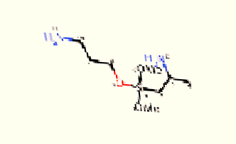 CO[Si](CC(C)N)(OC)OCCCN